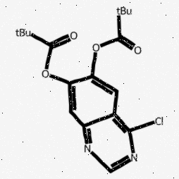 CC(C)(C)C(=O)Oc1cc2ncnc(Cl)c2cc1OC(=O)C(C)(C)C